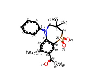 CCCCC1(CC)CN(c2ccccc2)c2cc(SC)c(C(=O)OC)cc2S(=O)(=O)C1